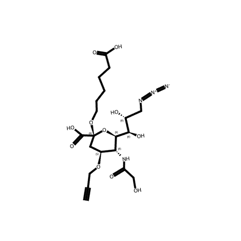 C#CCO[C@H]1C[C@](OCCCCCC(=O)O)(C(=O)O)O[C@@H]([C@H](O)[C@H](O)CN=[N+]=[N-])[C@@H]1NC(=O)CO